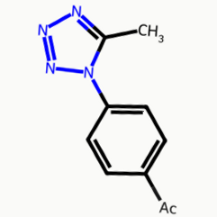 CC(=O)c1ccc(-n2nnnc2C)cc1